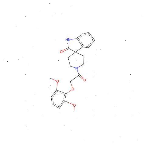 COc1cccc(OC)c1OCC(=O)N1CCC2(CC1)C(=O)Nc1ccccc12